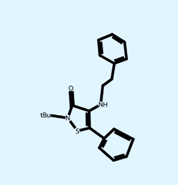 CC(C)(C)n1sc(-c2ccccc2)c(NCCc2ccccc2)c1=O